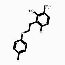 Cc1ccc(OCCc2c(O)ccc(C(=O)O)c2O)cc1